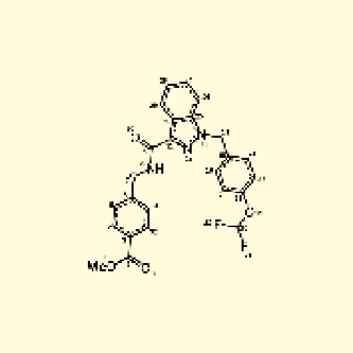 COC(=O)c1ccc(SNC(=O)c2nn(Cc3ccc(OC(F)F)cc3)c3ccccc23)cc1